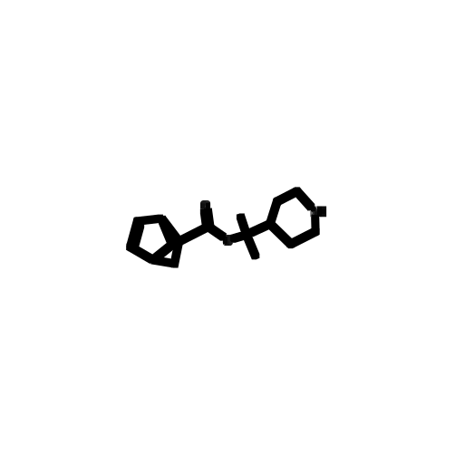 CC(C)(OC(=O)C1CC2C=CC1C2)C1CCNCC1